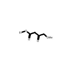 CCOC(=O)CC(=O)COC